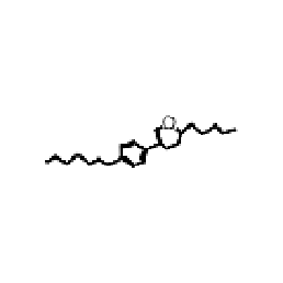 CCCCCCCc1ccc(C2CCC(CCCCC)OC2)cc1